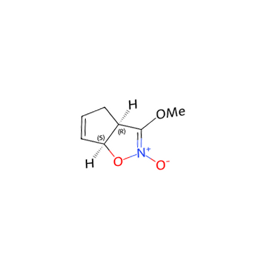 COC1=[N+]([O-])O[C@H]2C=CC[C@@H]12